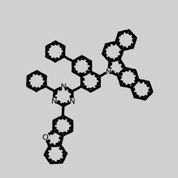 c1ccc(-c2ccc3c(-n4c5cc6ccccc6cc5c5c6ccccc6ccc54)ccc(-c4nc(-c5ccccc5)nc(-c5ccc6c(c5)oc5ccccc56)n4)c3c2)cc1